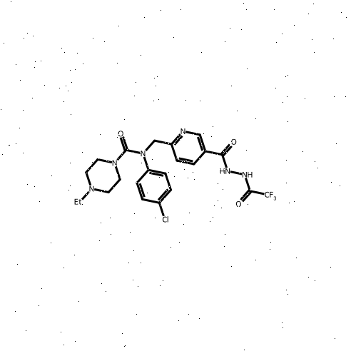 CCN1CCN(C(=O)N(Cc2ccc(C(=O)NNC(=O)C(F)(F)F)cn2)c2ccc(Cl)cc2)CC1